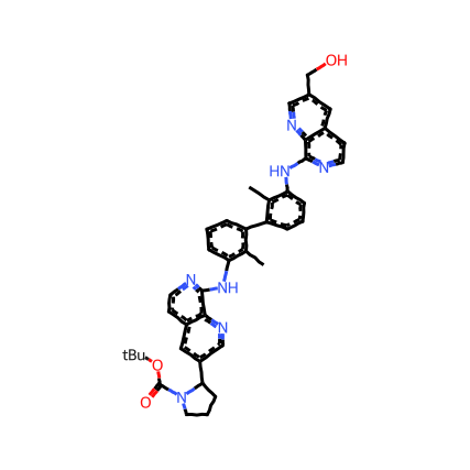 Cc1c(Nc2nccc3cc(CO)cnc23)cccc1-c1cccc(Nc2nccc3cc(C4CCCN4C(=O)OC(C)(C)C)cnc23)c1C